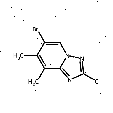 Cc1c(Br)cn2nc(Cl)nc2c1C